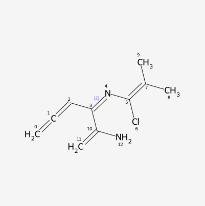 C=C=C/C(=N/C(Cl)=C(C)C)C(=C)N